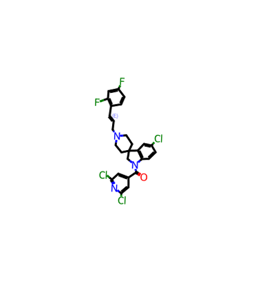 O=C(c1cc(Cl)nc(Cl)c1)N1CC2(CCN(C/C=C/c3ccc(F)cc3F)CC2)c2cc(Cl)ccc21